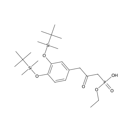 CCOP(=O)(O)CC(=O)Cc1ccc(O[Si](C)(C)C(C)(C)C)c(O[Si](C)(C)C(C)(C)C)c1